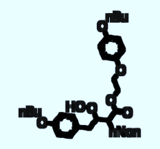 CCCCCCCCCC(C(=O)OCCOc1ccc(OCCCC)cc1)C(Cc1ccc(OCCCC)cc1)OO